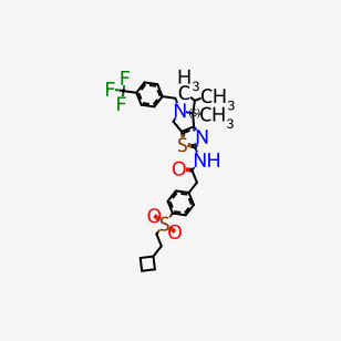 CC(C)[C@@]1(C)c2nc(NC(=O)Cc3ccc(S(=O)(=O)CCC4CCC4)cc3)sc2CN1Cc1ccc(C(F)(F)F)cc1